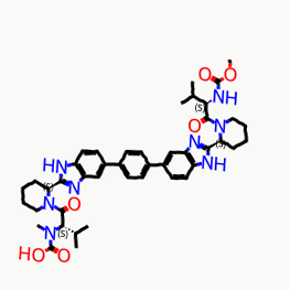 COC(=O)N[C@H](C(=O)N1CCCC[C@H]1c1nc2cc(-c3ccc(-c4ccc5[nH]c([C@@H]6CCCCN6C(=O)[C@H](C(C)C)N(C)C(=O)O)nc5c4)cc3)ccc2[nH]1)C(C)C